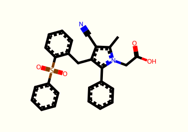 Cc1c(C#N)c(Cc2ccccc2S(=O)(=O)c2ccccc2)c(-c2ccccc2)n1CC(=O)O